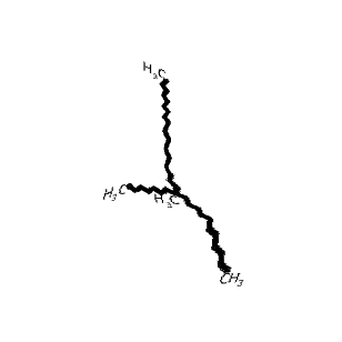 CCCCCCCCCCCCCCCC[CH]CC(C)(CCCCCCCC)CCCCCCCCCCCC